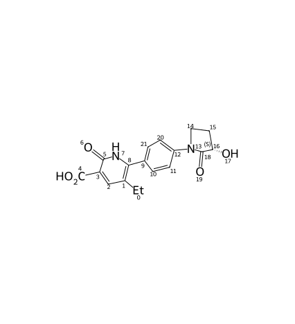 CCc1cc(C(=O)O)c(=O)[nH]c1-c1ccc(N2CC[C@H](O)C2=O)cc1